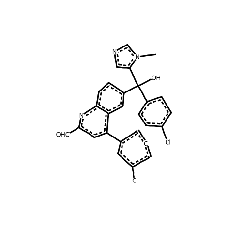 Cn1cncc1C(O)(c1ccc(Cl)cc1)c1ccc2nc(C=O)cc(-c3cccc(Cl)c3)c2c1